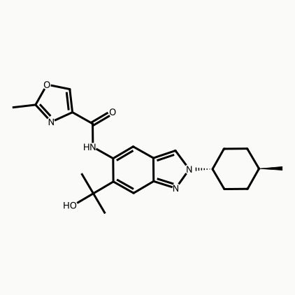 Cc1nc(C(=O)Nc2cc3cn([C@H]4CC[C@H](C)CC4)nc3cc2C(C)(C)O)co1